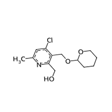 Cc1cc(Cl)c(COC2CCCCO2)c(CO)n1